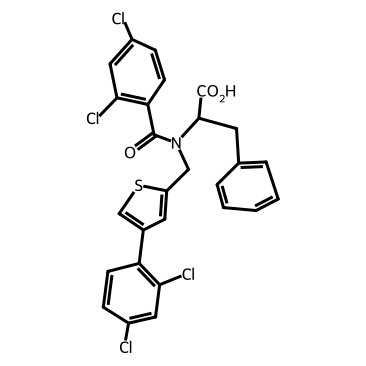 O=C(O)C(Cc1ccccc1)N(Cc1cc(-c2ccc(Cl)cc2Cl)cs1)C(=O)c1ccc(Cl)cc1Cl